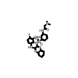 COc1cc(Nc2nc3ccccc3nc2NS(=O)(=O)c2cccc(NC(=O)CN(C)C)c2)ccc1F